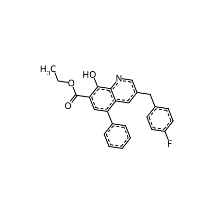 CCOC(=O)c1cc(-c2ccccc2)c2cc(Cc3ccc(F)cc3)cnc2c1O